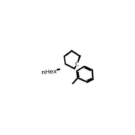 C1CCCCC1.CCCCCCC.Cc1ccccc1